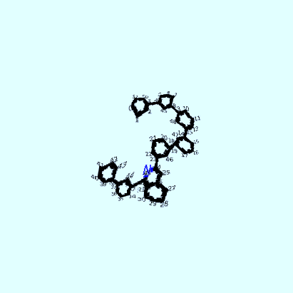 c1ccc(-c2cccc(-c3cccc(-c4cccc(-c5cccc(-c6cc7ccccc7c(-c7cccc(-c8ccccc8)c7)n6)c5)c4)c3)c2)cc1